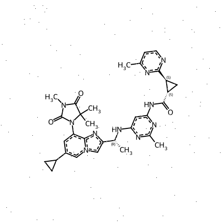 Cc1ccnc([C@H]2C[C@@H]2C(=O)Nc2cc(N[C@H](C)c3cn4cc(C5CC5)cc(N5C(=O)N(C)C(=O)C5(C)C)c4n3)nc(C)n2)n1